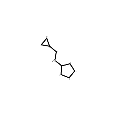 C1CCC([N]CC2CC2)C1